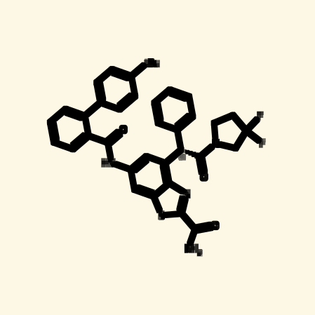 CC(C)(C)c1ccc(-c2ccccc2C(=O)Nc2cc([C@@H](C(=O)N3CCC(F)(F)C3)c3ccccc3)c3nc(C(N)=O)sc3c2)cc1